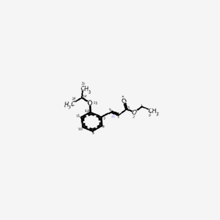 CCOC(=O)/C=C/c1ccccc1OC(C)C